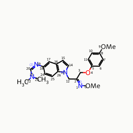 CO/N=C(\COc1ccc(OC)cc1)Cn1ccc2cc(/N=C\N(C)C)ccc21